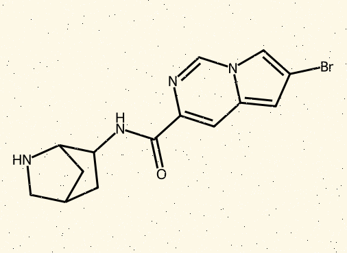 O=C(NC1CC2CNC1C2)c1cc2cc(Br)cn2cn1